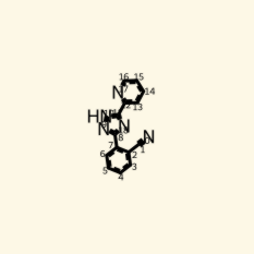 N#Cc1ccccc1-c1n[nH]c(-c2ccccn2)n1